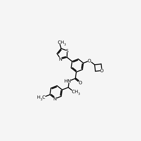 Cc1ccc(C(C)NC(=O)c2cc(OC3COC3)cc(-c3ncc(C)s3)c2)cn1